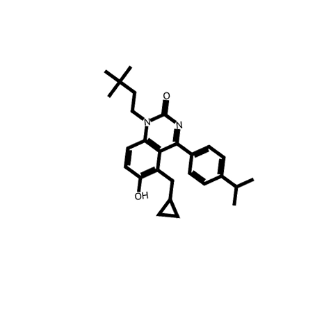 CC(C)c1ccc(-c2nc(=O)n(CCC(C)(C)C)c3ccc(O)c(CC4CC4)c23)cc1